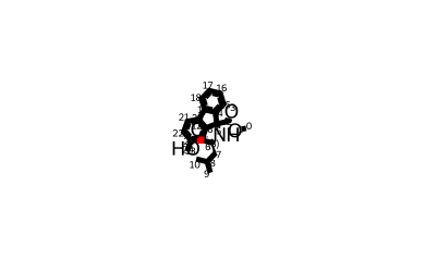 COC(=O)C1(N[C@@H](CC(C)C)C(=O)O)c2ccccc2-c2ccc(C)cc21